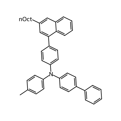 CCCCCCCCc1cc(-c2ccc(N(c3ccc(C)cc3)c3ccc(-c4ccccc4)cc3)cc2)c2ccccc2c1